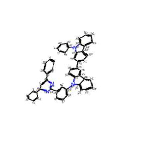 c1ccc(-c2cc(-c3ccccc3)nc(-c3cccc(-n4c5ccccc5c5cc(-c6ccc7c8ccccc8n(-c8ccccc8)c7c6)ccc54)c3)n2)cc1